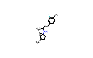 C=C(CCc1ccc(C(C)C)c(F)c1)NC12CCC(C)=C1C2